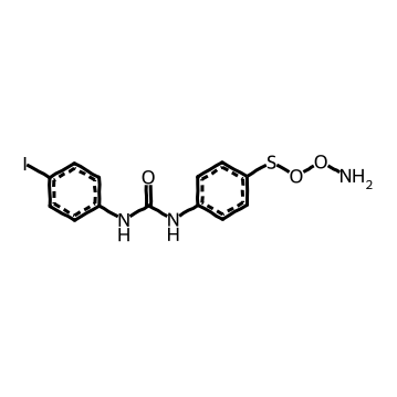 NOOSc1ccc(NC(=O)Nc2ccc(I)cc2)cc1